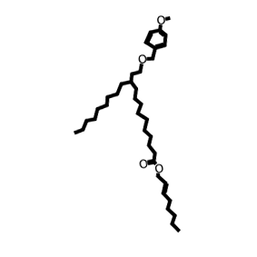 CCCCCC=CCOC(=O)CCCCCCCCCC(CCCCCCCCC)CCOCc1ccc(OC)cc1